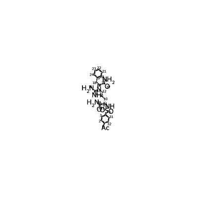 CC(=O)c1ccc(S(=O)(=O)N[C@@H](CCCN(C(=N)N)[C@@H](Cc2ccccc2)C(N)=O)C(N)=O)cc1